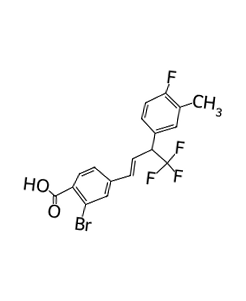 Cc1cc(C(C=Cc2ccc(C(=O)O)c(Br)c2)C(F)(F)F)ccc1F